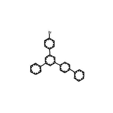 Brc1ccc(-c2cc(-c3ccccc3)cc(-c3ccc(-c4ccccc4)cc3)c2)cc1